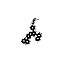 OCCOc1ccc(-c2cc(-c3cccc4ccccc34)cc3c2Cc2ccc(-c4cccc5ccccc45)cc2-3)cc1